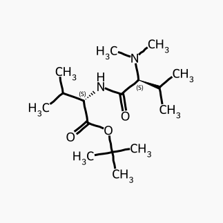 CC(C)[C@H](NC(=O)[C@H](C(C)C)N(C)C)C(=O)OC(C)(C)C